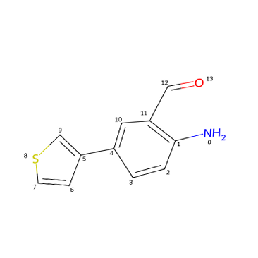 Nc1ccc(-c2ccsc2)cc1C=O